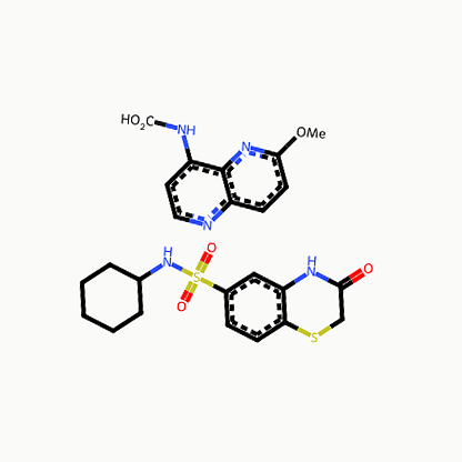 COc1ccc2nccc(NC(=O)O)c2n1.O=C1CSc2ccc(S(=O)(=O)NC3CCCCC3)cc2N1